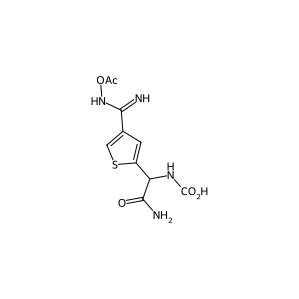 CC(=O)ONC(=N)c1csc(C(NC(=O)O)C(N)=O)c1